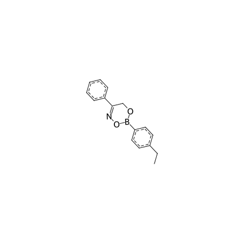 CCc1ccc(B2OCC(c3ccccc3)=NO2)cc1